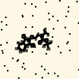 CC(C)N(CCON1C(=O)c2ccccc2C1=O)C(=O)OC(C)(C)C